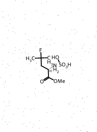 COC(=O)[C@@H](N)CC(C)(C)F.O=S(=O)(O)O